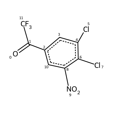 O=C(c1cc(Cl)c(Cl)c([N+](=O)[O-])c1)C(F)(F)F